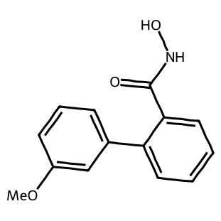 COc1cccc(-c2ccccc2C(=O)NO)c1